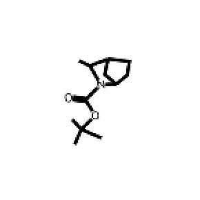 CC1C2CCC(C2)N1C(=O)OC(C)(C)C